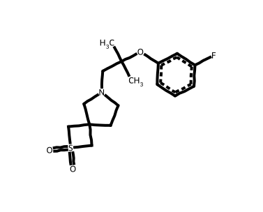 CC(C)(CN1CCC2(C1)CS(=O)(=O)C2)Oc1cccc(F)c1